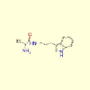 CCC(N)C(=O)NCCCc1c[nH]c2ccccc12